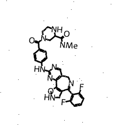 CNC(=O)C1CN(C(=O)c2ccc(Nc3ncc4c(n3)C3=C(CNO3)C(c3c(F)cccc3F)=NC4)cc2)CCN1